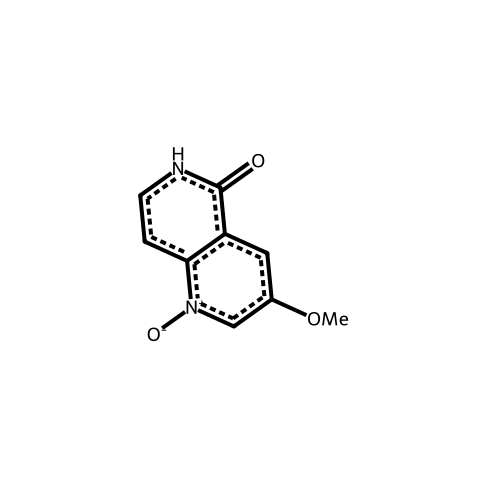 COc1cc2c(=O)[nH]ccc2[n+]([O-])c1